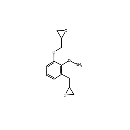 NOc1c(CC2CO2)cccc1OCC1CO1